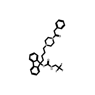 O=C(NCC(F)(F)F)OC1(CCCCN2CCN(C(=O)Cc3ccccc3)CC2)c2ccccc2-c2ccccc21